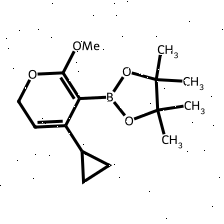 COC1=C(B2OC(C)(C)C(C)(C)O2)C(C2CC2)=CCO1